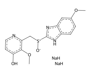 COc1ccc2[nH]c([S+]([O-])Cc3nccc(O)c3OC)nc2c1.[NaH].[NaH]